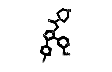 CNc1cc(-c2c(-c3ccc(F)cc3)ncn2CC(=O)N2CCNCC2)ccn1